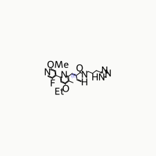 C=C/C(=C\c1nc(-c2cc(OC)ncc2F)cc(OCC)c1C)C(=O)NCCCc1nnc[nH]1